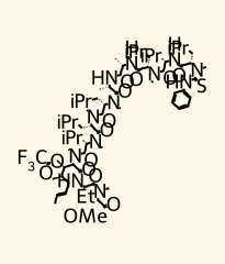 C/C=C/C[C@@H](C)[C@@H](OC(=O)C(F)(F)F)[C@@H](C(=O)N[C@@H](CC)C(=O)N(C)CC(=O)OC)N(C)C(=O)[C@H](C(C)C)N(C)C(=O)[C@H](CC(C)C)N(C)C(=O)[C@H](CC(C)C)N(C)C(=O)[C@H](C)NC(=O)[C@H](C)NC(=O)[C@H](CC(C)C)N(C)C(=O)[C@@H](NC(=O)[C@H](CC(C)C)N(C)C(=S)Nc1ccccc1)C(C)C